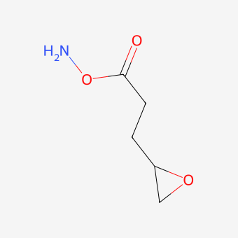 NOC(=O)CCC1CO1